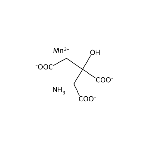 N.O=C([O-])CC(O)(CC(=O)[O-])C(=O)[O-].[Mn+3]